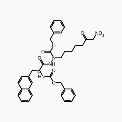 O=C(CCCCCN(NC(=O)[C@H](Cc1ccc2ccccc2c1)NC(=O)OCc1ccccc1)C(=O)OCc1ccccc1)C[N+](=O)[O-]